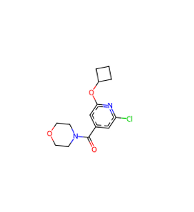 O=C(c1cc(Cl)nc(OC2CCC2)c1)N1CCOCC1